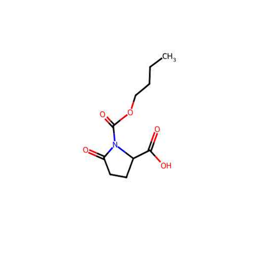 CCCCOC(=O)N1C(=O)CCC1C(=O)O